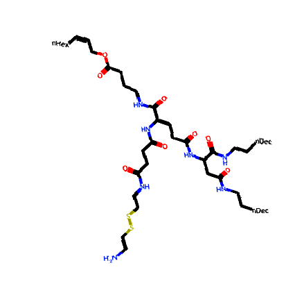 CCCCCC/C=C\COC(=O)CCCNC(=O)C(CCC(=O)NC(CC(=O)NCCCCCCCCCCCC)C(=O)NCCCCCCCCCCCC)NC(=O)CCC(=O)NCCSSCCN